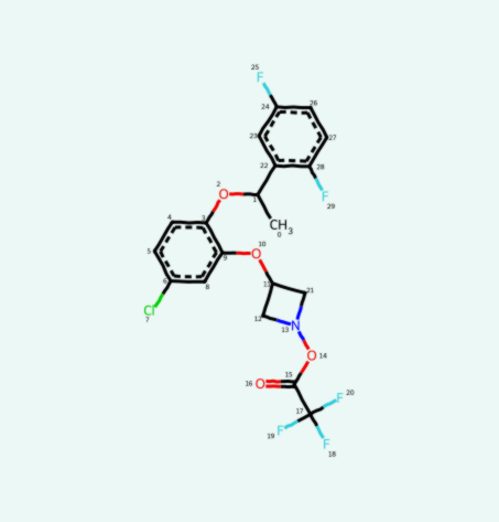 CC(Oc1ccc(Cl)cc1OC1CN(OC(=O)C(F)(F)F)C1)c1cc(F)ccc1F